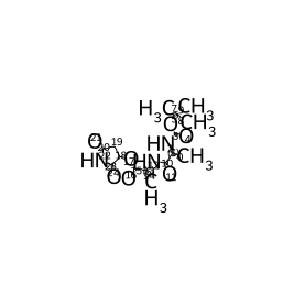 C[C@H](NC(=O)OC(C)(C)C)C(=O)N[C@@H](C)C(=O)OC1CC(=O)NC1=O